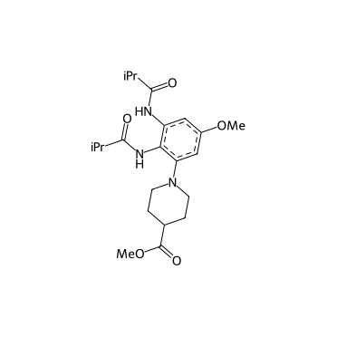 COC(=O)C1CCN(c2cc(OC)cc(NC(=O)C(C)C)c2NC(=O)C(C)C)CC1